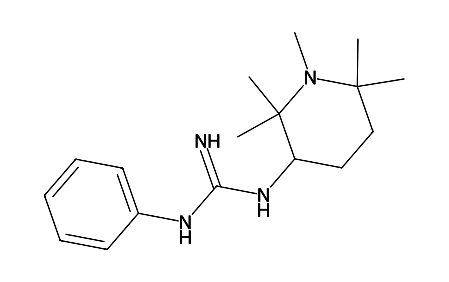 CN1C(C)(C)CCC(NC(=N)Nc2ccccc2)C1(C)C